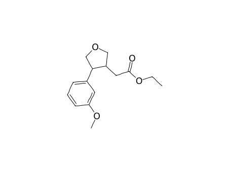 CCOC(=O)CC1COCC1c1cccc(OC)c1